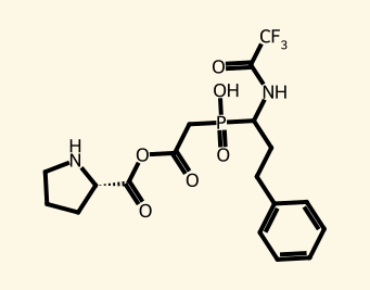 O=C(CP(=O)(O)C(CCc1ccccc1)NC(=O)C(F)(F)F)OC(=O)[C@@H]1CCCN1